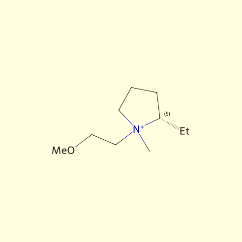 CC[C@H]1CCC[N+]1(C)CCOC